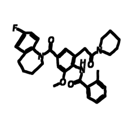 COc1cc(C(=O)N2CCCCc3cc(F)ccc32)cc(CC(=O)N2CCCCC2)c1NC(=O)c1ccccc1C